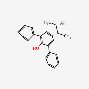 Oc1c(-c2ccccc2)cccc1-c1ccccc1.[AlH3].[CH2]CCC